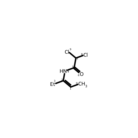 CC=C(CC)NC(=O)C(Cl)Cl